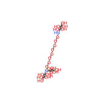 OC[C@@H](O)[C@@H](O)[C@H](O)[C@@H](O)CNCCOCCOCCOCCOCCOCCOCCOCCOCCN(C[C@H](O)[C@@H](O)[C@H](O)[C@H](O)CO)C[C@H](O)[C@@H](O)[C@H](O)[C@H](O)CO